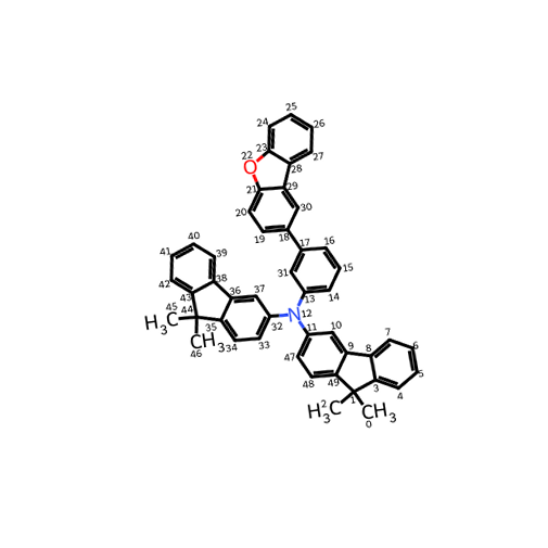 CC1(C)c2ccccc2-c2cc(N(c3cccc(-c4ccc5oc6ccccc6c5c4)c3)c3ccc4c(c3)-c3ccccc3C4(C)C)ccc21